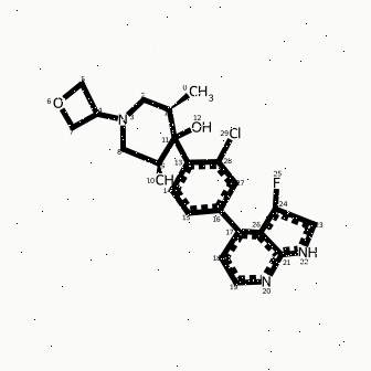 C[C@@H]1CN(C2COC2)C[C@H](C)C1(O)c1ccc(-c2ccnc3[nH]cc(F)c23)cc1Cl